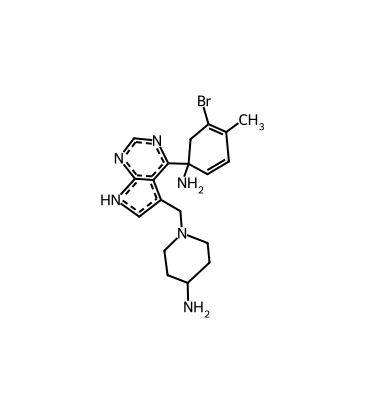 CC1=C(Br)CC(N)(c2ncnc3[nH]cc(CN4CCC(N)CC4)c23)C=C1